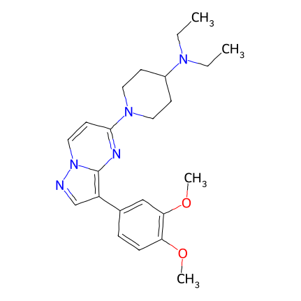 CCN(CC)C1CCN(c2ccn3ncc(-c4ccc(OC)c(OC)c4)c3n2)CC1